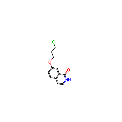 O=c1[nH]ccc2ccc(OCCCCl)cc12